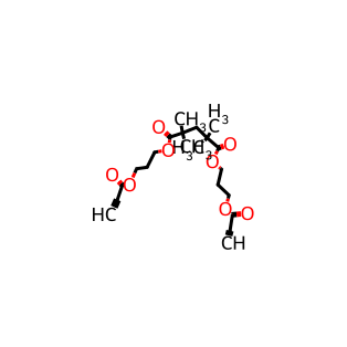 C#CC(=O)OCCCOC(=O)C(C)(C)CC(C)(C)C(=O)OCCCOC(=O)C#C